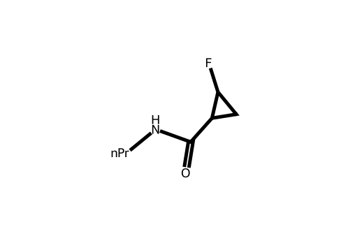 CCCNC(=O)C1CC1F